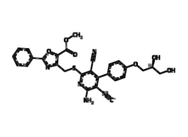 [C-]#[N+]c1c(N)nc(SCc2nc(-c3ccccc3)oc2C(=O)OC)c(C#N)c1-c1ccc(OC[C@@H](O)CO)cc1